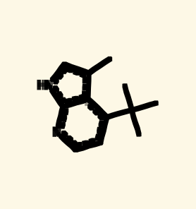 Cc1c[nH]c2nccc(C(C)(C)C)c12